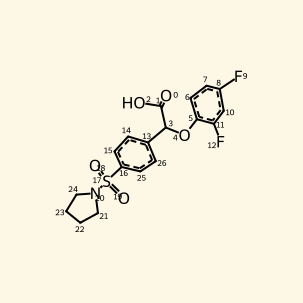 O=C(O)C(Oc1ccc(F)cc1F)c1ccc(S(=O)(=O)N2CCCC2)cc1